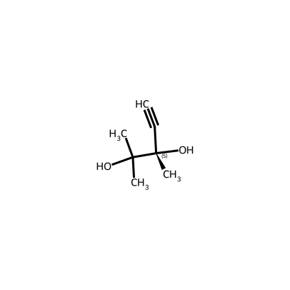 C#C[C@](C)(O)C(C)(C)O